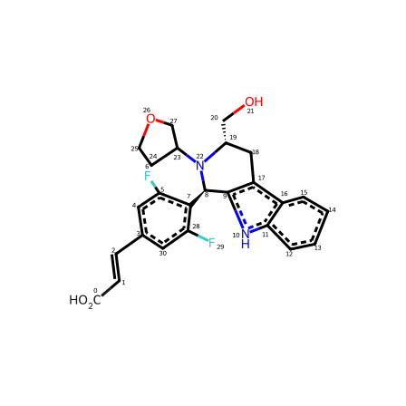 O=C(O)/C=C/c1cc(F)c([C@@H]2c3[nH]c4ccccc4c3C[C@@H](CO)N2C2CCOC2)c(F)c1